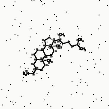 CC(C)CCC[C@@H](C)[C@H]1CCC2C3CCC4C[C@H](CN)CC[C@]4(C)C3CC[C@@]21C